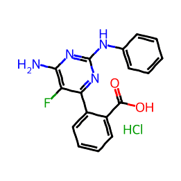 Cl.Nc1nc(Nc2ccccc2)nc(-c2ccccc2C(=O)O)c1F